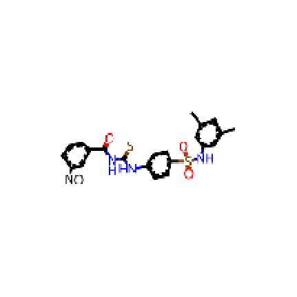 Cc1cc(C)cc(NS(=O)(=O)c2ccc(NC(=S)NC(=O)c3cccc(N=O)c3)cc2)c1